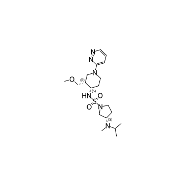 COC[C@@H]1CN(c2cccnn2)CC[C@@H]1NS(=O)(=O)N1CC[C@H](N(C)C(C)C)C1